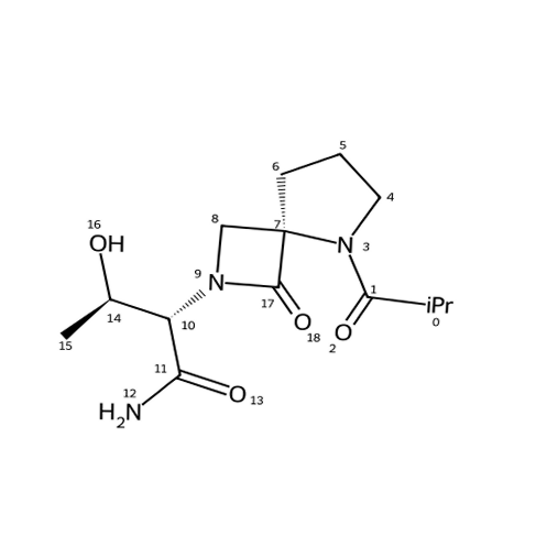 CC(C)C(=O)N1CCC[C@]12CN([C@H](C(N)=O)[C@@H](C)O)C2=O